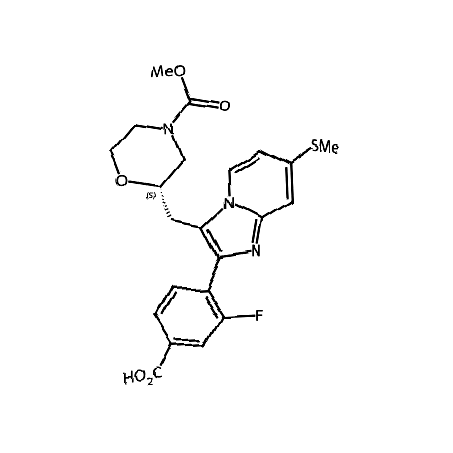 COC(=O)N1CCO[C@@H](Cc2c(-c3ccc(C(=O)O)cc3F)nc3cc(SC)ccn23)C1